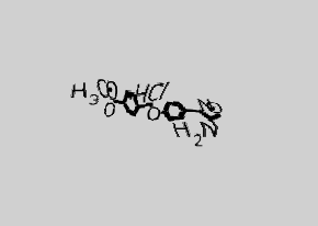 COC(=O)c1ccc(COc2ccc(-c3nocc3N)cc2)cc1.Cl